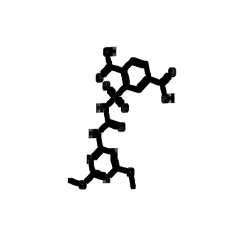 COc1nc(NC(=O)NS(=O)(=O)c2cc(C(=O)O)ccc2C(=O)O)nc(OC)n1